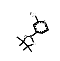 CC1(C)OB(c2ccnc(C(F)(F)F)c2)OC1(C)C